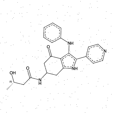 C[C@H](O)CC(=O)NC1CC(=O)c2c([nH]c(-c3ccncc3)c2Nc2ccccc2)C1